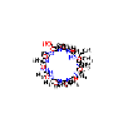 C/C=C/C[C@@H](C)[C@@H](OC(C)=O)[C@H]1C(=O)N[C@@H](CC)C(=O)N(C)[C@H](C)C(=O)N(C)[C@@H]([C@H](C)CCO)C(=O)N[C@@H](C(C)C)C(=O)N(C)[C@@H](CCC(C)C)C(=O)N[C@@H](C)C(=O)N[C@H](C)C(=O)N(C)[C@@H](CC(C)C)C(=O)N(C)[C@@H](CC(C)C)C(=O)N(C)[C@@H](C(C)C)C(=O)N1C